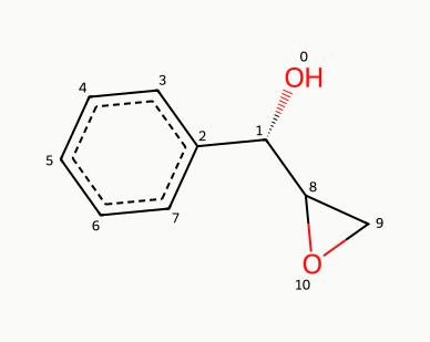 O[C@@H](c1ccccc1)C1CO1